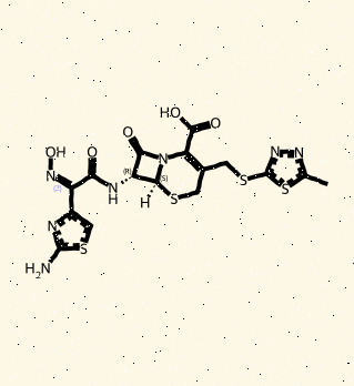 Cc1nnc(SCC2=C(C(=O)O)N3C(=O)[C@@H](NC(=O)/C(=N\O)c4csc(N)n4)[C@@H]3SC2)s1